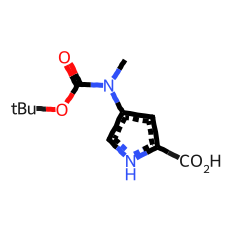 CN(C(=O)OC(C)(C)C)c1c[nH]c(C(=O)O)c1